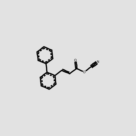 N#COC(=O)C=Cc1ccccc1-c1ccccc1